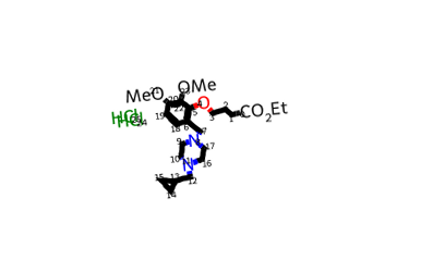 CCOC(=O)CCCOc1c(CN2CCN(CC3CC3)CC2)ccc(OC)c1OC.Cl.Cl